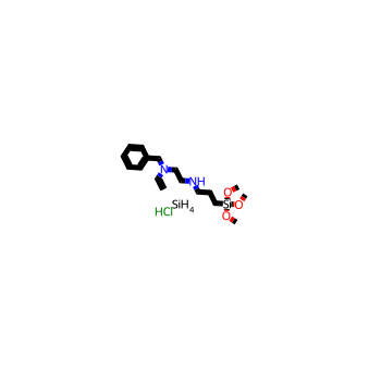 C=CN(CCNCCC[Si](OC)(OC)OC)Cc1ccccc1.Cl.[SiH4]